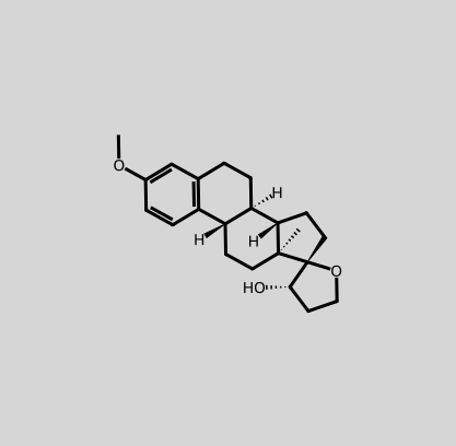 COc1ccc2c(c1)CC[C@@H]1[C@@H]2CC[C@@]2(C)[C@H]1CC[C@]21OCC[C@@H]1O